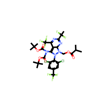 CC(C)C(=O)OCN1C2N=C(C(C)(F)F)N=C(C(F)(F)F)C2=C(N(C(=O)OC(C)(C)C)C(=O)OC(C)(C)C)N1c1c(Cl)cc(C(F)(F)F)cc1Cl